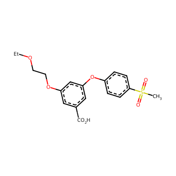 CCOCCOc1cc(Oc2ccc(S(C)(=O)=O)cc2)cc(C(=O)O)c1